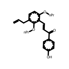 C=CCc1ccc(OCCC)c(C=CC(=O)c2ccc(O)cc2)c1OCCC